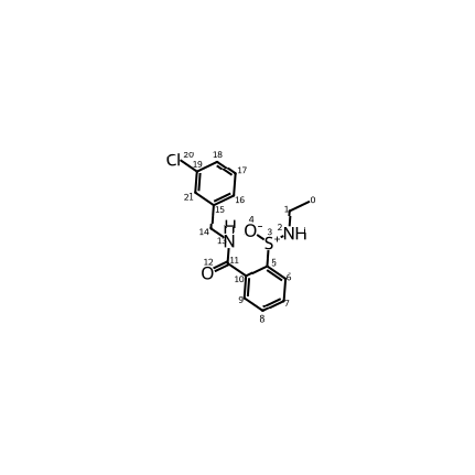 CCN[S+]([O-])c1ccccc1C(=O)NCc1cccc(Cl)c1